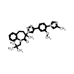 COc1cc(-c2cn(C3(C)CCc4ccccc4N(CC(C)(C)C)C3=O)nn2)ccc1-n1cnc(C)c1